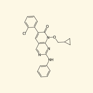 O=c1c(-c2ccccc2Cl)cc2cnc(Nc3ccccc3)nc2n1OCC1CC1